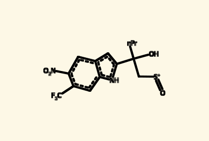 CCCC(O)(C[S+]=O)c1cc2cc([N+](=O)[O-])c(C(F)(F)F)cc2[nH]1